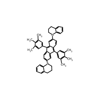 Cc1cc(-c2c3ccc(N4CCCc5ccccc54)cc3c(-c3cc(C)c(C)c(C)c3)c3ccc(N4CCCc5ccccc54)cc23)cc(C)c1C